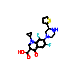 O=C(O)c1cn(C2CC2)c2c(F)c(N3CCNC(c4cccs4)C3)c(F)cc2c1=O